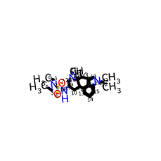 CCN(CC)S(=O)(=O)N[C@H]1CC2c3cccc4c3c(cn4C(C)C)C[C@H]2N(C)C1